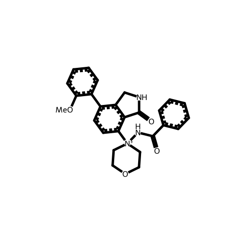 COc1ccccc1-c1ccc([N+]2(NC(=O)c3ccccc3)CCOCC2)c2c1CNC2=O